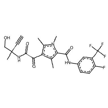 C#CC(C)(CO)NC(=O)C(=O)c1c(C)c(C(=O)Nc2ccc(F)c(C(F)(F)F)c2)n(C)c1C